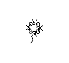 [CH2]CC[Si]1(C)O[Si](C)(C)O[Si](C)(C)O[Si](C)(C)O1